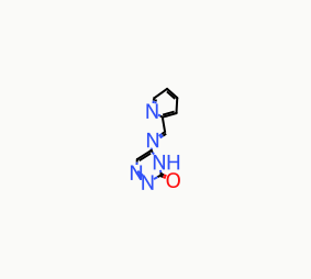 O=c1nncc(N=Cc2ccccn2)[nH]1